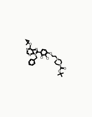 CC(C)(C)OC(=O)N1CCN(CCOc2ccc(-c3nc4c(OC5(C)CC5)ncnc4n3Cc3ccccc3)c(Cl)c2Cl)CC1